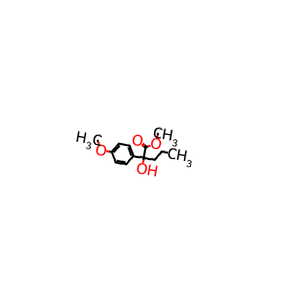 CCCC(O)(C(=O)OC)c1ccc(OC)cc1